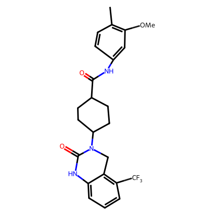 COc1cc(NC(=O)C2CCC(N3Cc4c(cccc4C(F)(F)F)NC3=O)CC2)ccc1C